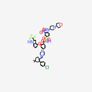 CC1(C)CCC(CN2CCN(c3ccc(C(=O)NS(=O)(=O)c4ccc(NC5CCN(C6CCOCC6)CC5)c([N+](=O)[O-])c4)c(Oc4cccc5[nH]c(C(F)(F)F)cc45)c3)CC2)=C(c2ccc(Cl)cc2)C1